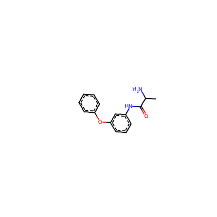 CC(N)C(=O)Nc1cccc(Oc2ccccc2)c1